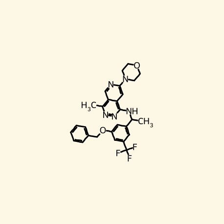 Cc1nnc(NC(C)c2cc(OCc3ccccc3)cc(C(F)(F)F)c2)c2cc(N3CCOCC3)ncc12